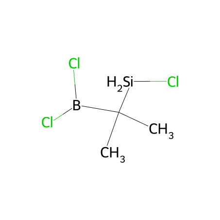 CC(C)([SiH2]Cl)B(Cl)Cl